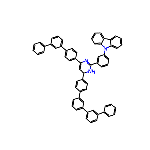 C1=C(c2ccc(-c3cccc(-c4ccccc4)c3)cc2)N=C(c2cccc(-n3c4ccccc4c4ccccc43)c2)NC1c1ccc(-c2cccc(-c3cccc(-c4ccccc4)c3)c2)cc1